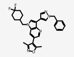 Cc1noc(C)c1-c1cnc2c(-c3cnn(Cc4ccccc4)c3)cn(CC3CCC(F)(F)CC3)c2c1